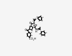 O=C(O)c1ccc(C(=O)C2C[C@@H](C(=O)N[C@H]3C[C@@H]3c3ccccc3)[C@H](C(=O)N[C@H]3C[C@@H]3c3ccccc3)C2)cc1